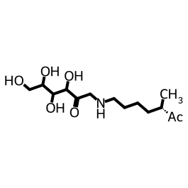 CC(=O)[C@@H](C)CCCCNCC(=O)C(O)C(O)C(O)CO